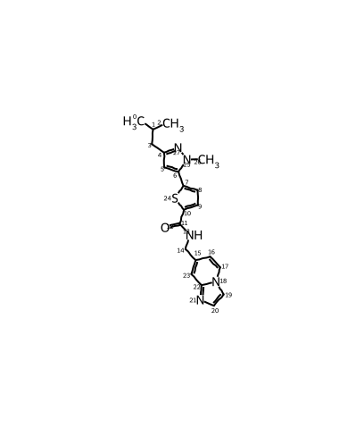 CC(C)Cc1cc(-c2ccc(C(=O)NCc3ccn4ccnc4c3)s2)n(C)n1